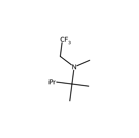 CC(C)C(C)(C)N(C)CC(F)(F)F